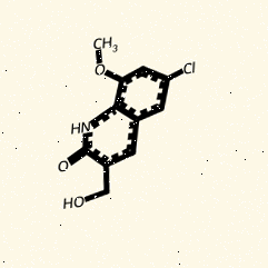 COc1cc(Cl)cc2cc(CO)c(=O)[nH]c12